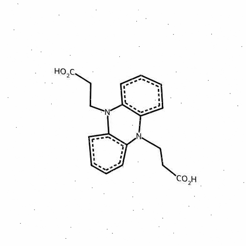 O=C(O)CCN1c2ccccc2N(CCC(=O)O)c2ccccc21